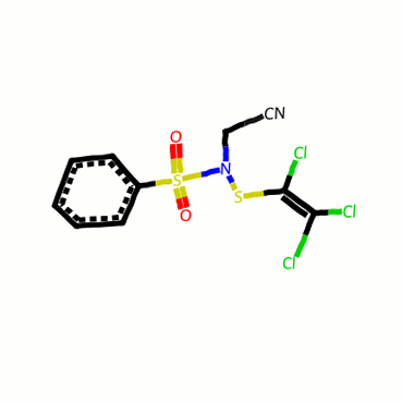 N#CCN(SC(Cl)=C(Cl)Cl)S(=O)(=O)c1ccccc1